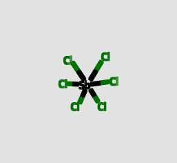 [Cl][Sb-]([Cl])([Cl])([Cl])([Cl])[Cl]